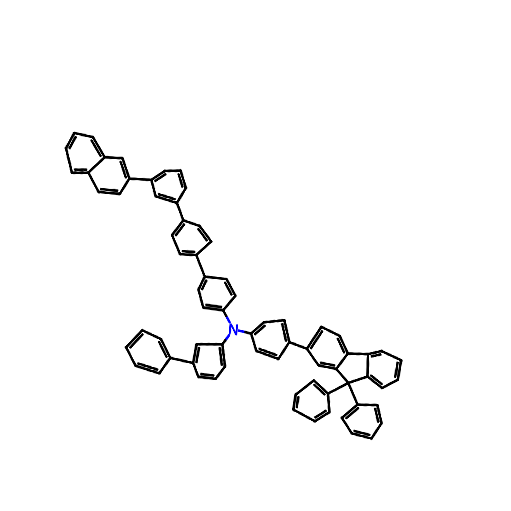 c1ccc(-c2cccc(N(c3ccc(-c4ccc(-c5cccc(-c6ccc7ccccc7c6)c5)cc4)cc3)c3ccc(-c4ccc5c(c4)C(c4ccccc4)(c4ccccc4)c4ccccc4-5)cc3)c2)cc1